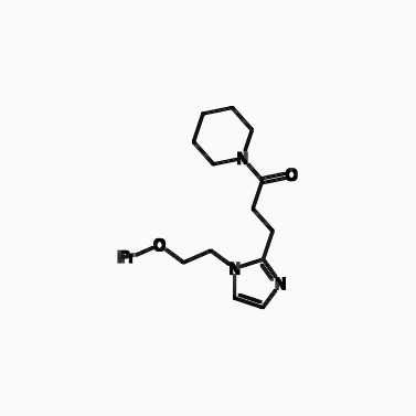 CC(C)OCCn1ccnc1CCC(=O)N1CCCCC1